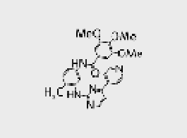 COc1cc(C(=O)Nc2ccc(C)c(Nc3nccc(-c4ccncc4)n3)c2)cc(OC)c1OC